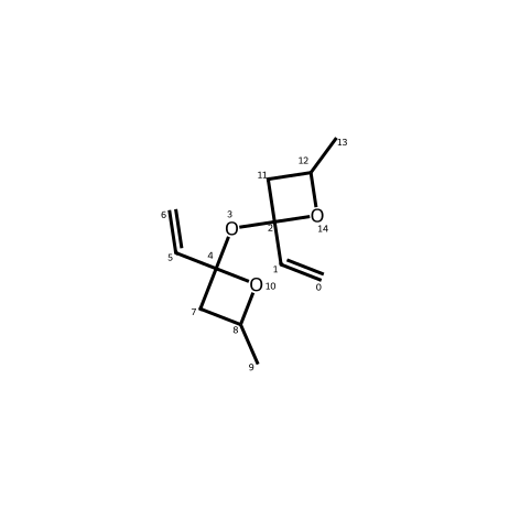 C=CC1(OC2(C=C)CC(C)O2)CC(C)O1